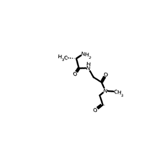 C[C@H](N)C(=O)NCC(=O)N(C)C[C]=O